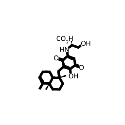 CC1=CCCC2[C@](C)(CC3=C(O)C(=O)C=C(N[C@@H](CO)C(=O)O)C3=O)CCC[C@]12C